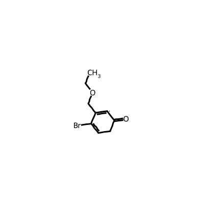 CCOCC1=[C]C(=O)CC=C1Br